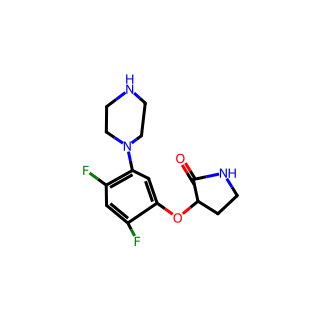 O=C1NCCC1Oc1cc(N2CCNCC2)c(F)cc1F